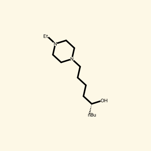 CCCC[C@@H](O)CCCCN1CCN(CC)CC1